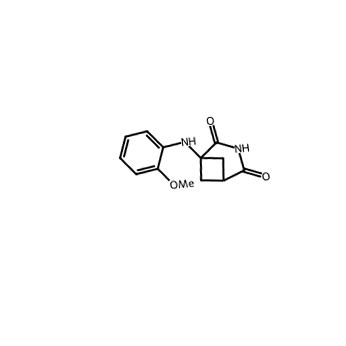 COc1ccccc1NC12CC(C1)C(=O)NC2=O